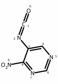 O=C=Nc1cncnc1[N+](=O)[O-]